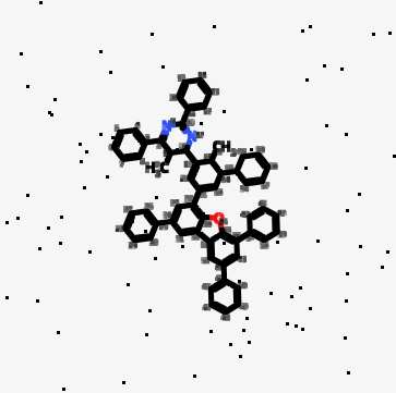 CC1C(c2ccccc2)=NC(c2ccccc2)=NC1C1=CC(c2cc(-c3ccccc3)cc3c2oc2c(-c4ccccc4)cc(-c4ccccc4)cc23)=CC(C2C=CC=CC2)C1C